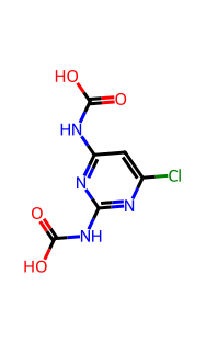 O=C(O)Nc1cc(Cl)nc(NC(=O)O)n1